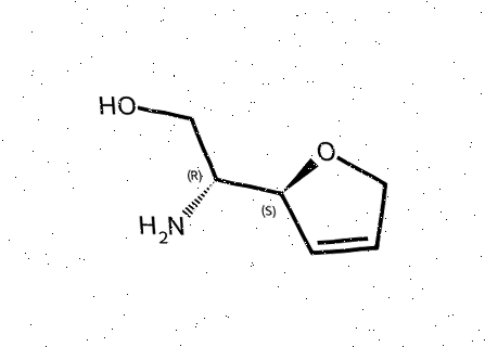 N[C@H](CO)[C@@H]1C=CCO1